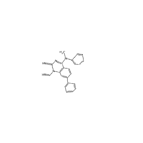 CN(c1ccccc1)c1nc(=N)n(C=N)c2cc(-c3ccccc3)ccc12